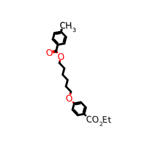 CCOC(=O)c1ccc(OCCCCCCOC(=O)c2ccc(C)cc2)cc1